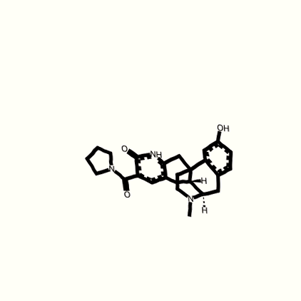 CN1CCC23Cc4[nH]c(=O)c(C(=O)N5CCCC5)cc4C[C@H]2[C@H]1Cc1ccc(O)cc13